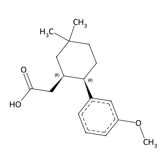 COc1cccc([C@@H]2CCC(C)(C)C[C@@H]2CC(=O)O)c1